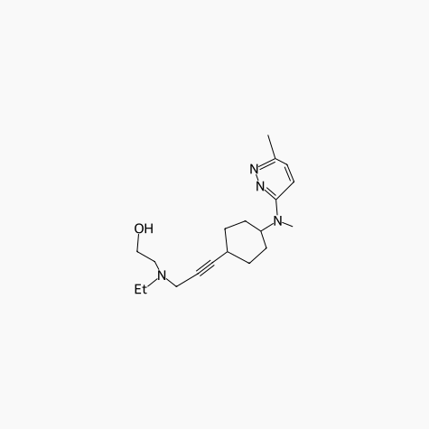 CCN(CC#CC1CCC(N(C)c2ccc(C)nn2)CC1)CCO